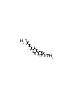 CCCCCCC[C@H]1CC[C@H](C2CCC(F)(CCCC)CC2)CC1